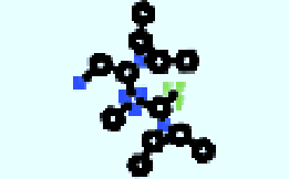 N#Cc1cccc(-c2cc(-c3nc(-c4ccccc4)nc(-c4cc(-n5c6ccc(-c7ccccc7)cc6c6cc(-c7ccccc7)ccc65)cc(C(F)(F)F)c4)n3)cc(-n3c4ccc(-c5ccccc5)cc4c4cc(-c5ccccc5)ccc43)c2)c1